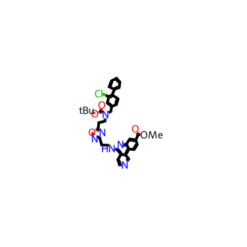 COC(=O)c1ccc2c(c1)nc(NCCc1noc(CCN(Cc3ccc(-c4ccccc4)c(Cl)c3)C(=O)OC(C)(C)C)n1)c1ccncc12